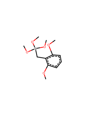 COc1cccc(OC)c1C[Si](OC)(OC)OC